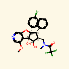 COc1cncc2c1[C@]1(O)[C@H](O)[C@H](CN(C)C(=O)C(F)(F)F)[C@@H](c3ccccc3)[C@]1(c1ccc(Br)cc1)O2